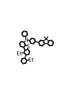 CCc1ccccc1-c1ccc2sc3c(N(c4ccccc4)c4ccc(-c5ccc6c(c5)C(C)(C)c5ccccc5-6)cc4)cccc3c2c1CC